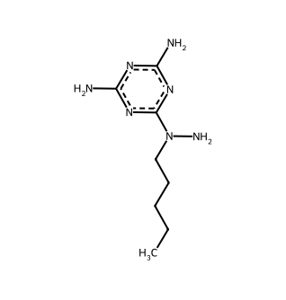 CCCCCN(N)c1nc(N)nc(N)n1